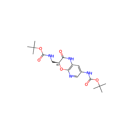 CC(C)(C)OC(=O)NC[C@@H]1Oc2ncc(NC(=O)OC(C)(C)C)cc2NC1=O